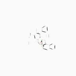 CC(C)(C)C1=CC(C(C)(C)C)C(O)(C2=Cc3ccc4ccccc4c3C2)C(c2ccccc2)=C1